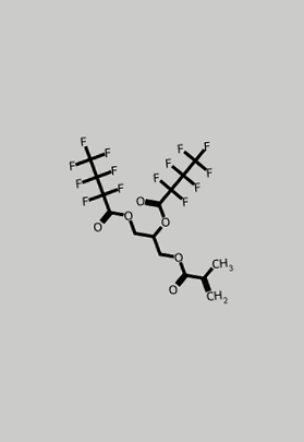 C=C(C)C(=O)OCC(COC(=O)C(F)(F)C(F)(F)C(F)(F)F)OC(=O)C(F)(F)C(F)(F)C(F)(F)F